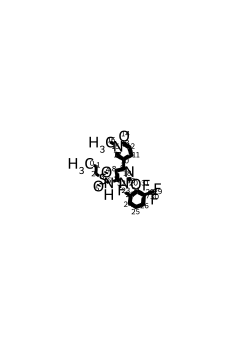 CCCS(=O)(=O)Nc1cc(-c2ccc(=O)n(C)c2)nc(Oc2c(F)cccc2C(F)(F)F)n1